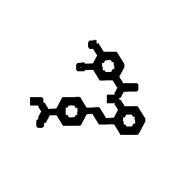 O=C(O)c1ccc(C=Cc2ccccc2NC(=O)c2ccc(Cl)c(Cl)c2)cc1